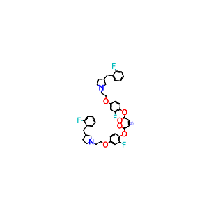 O=C(/C=C\C(=O)Oc1ccc(OCCN2CCC(Cc3ccccc3F)C2)cc1F)Oc1ccc(OCCN2CCC(Cc3ccccc3F)C2)cc1F